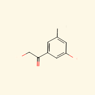 O=C(O)c1cc(O)cc(C(=O)CO)c1